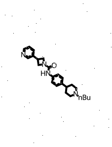 CCCCN1CCC(c2ccc(NC(=O)N3CC(c4cccnc4)C3)cc2)CC1